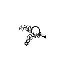 CC(C)(C)OC(=O)N[C@H]1CCCCCCCC2C[C@@]2(C(=O)NCC2CC2)NC(=O)[C@@H]2C[C@@H](OC(=O)N3Cc4ccccc4C3)CN2C1=O